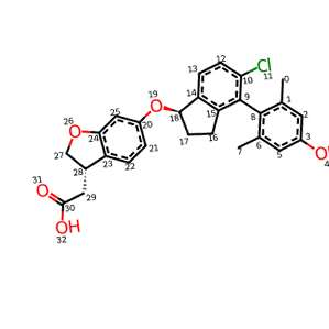 Cc1cc(O)cc(C)c1-c1c(Cl)ccc2c1CC[C@H]2Oc1ccc2c(c1)OC[C@H]2CC(=O)O